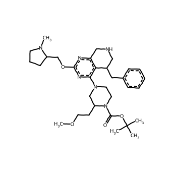 COCCC1CN(c2nc(OCC3CCCN3C)nc3c2C(Cc2ccccc2)CNC3)CCN1C(=O)OC(C)(C)C